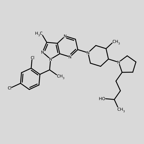 Cc1nn(C(C)c2ccc(Cl)cc2Cl)c2nc(N3CCC(N4CCCC4CCC(C)O)C(C)C3)cnc12